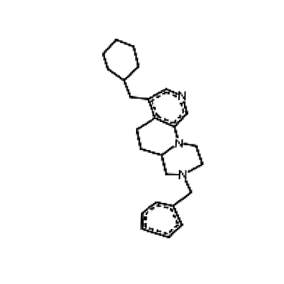 c1ccc(CN2CCN3c4cncc(CC5CCCCC5)c4CCC3C2)cc1